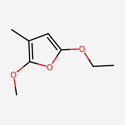 CCOc1cc(C)c(OC)o1